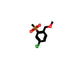 COCc1ccc(Cl)cc1S(C)(=O)=O